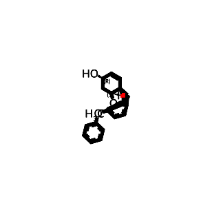 CN1CCC23C=C[C@H](O)C[C@@H]2Oc2c(Oc4ccccc4)ccc(c23)C1